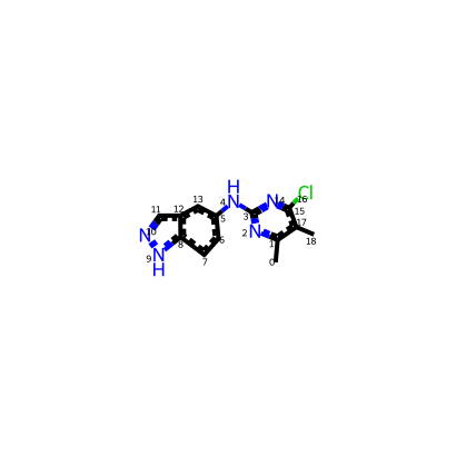 Cc1nc(Nc2ccc3[nH]ncc3c2)nc(Cl)c1C